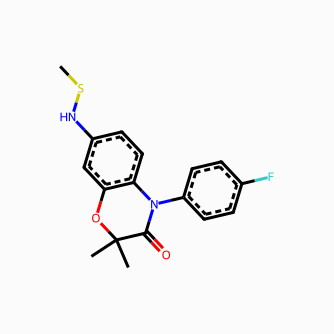 CSNc1ccc2c(c1)OC(C)(C)C(=O)N2c1ccc(F)cc1